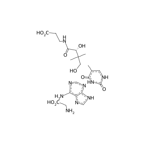 CC(C)(CO)[C@@H](O)C(=O)NCCC(=O)O.Cc1c[nH]c(=O)[nH]c1=O.NCC(=O)O.Nc1ncnc2[nH]cnc12